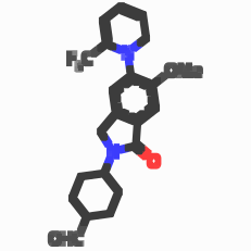 COc1cc2c(cc1N1CC=CC=C1C(F)(F)F)CN(C1CCC(C=O)CC1)C2=O